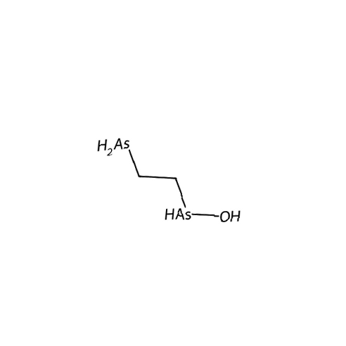 O[AsH]CC[AsH2]